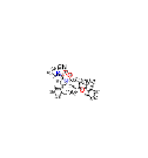 COc1cc(C(=O)N2C[C@H](c3ccccc3)C[C@H]2C(=O)N2CCCC2C#N)cc(OC)c1OCc1ccccc1